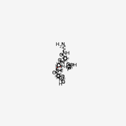 NCCCCNC(=O)c1cccc(NC(=O)c2ccc(CN(C(=O)c3ccc4c(c3)OCC(=O)N4)C3CC3)cc2)c1.O=C(O)C(F)(F)F